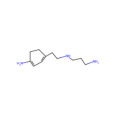 NCCCNCCC1=CC=C(N)CC1